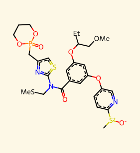 CCC(COC)Oc1cc(Oc2ccc([S+](C)[O-])nc2)cc(C(=O)N(CSC)c2nc(CP3(=O)OCCCO3)cs2)c1